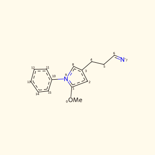 COc1cc(CCC=[N])cn1-c1ccccc1